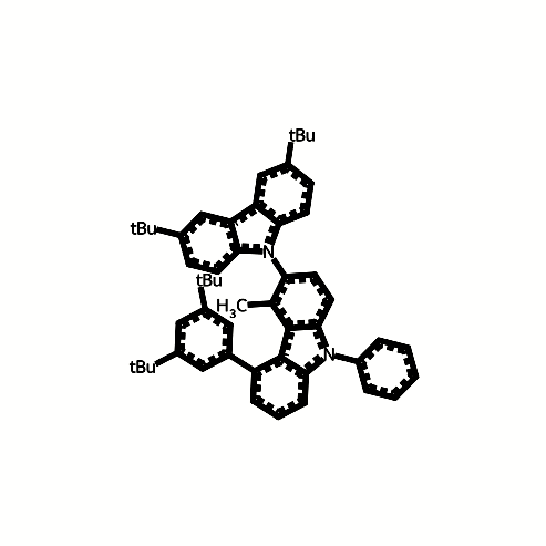 Cc1c(-n2c3ccc(C(C)(C)C)cc3c3cc(C(C)(C)C)ccc32)ccc2c1c1c(-c3cc(C(C)(C)C)cc(C(C)(C)C)c3)cccc1n2-c1ccccc1